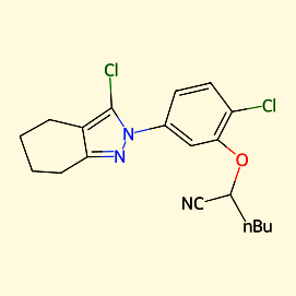 CCCCC(C#N)Oc1cc(-n2nc3c(c2Cl)CCCC3)ccc1Cl